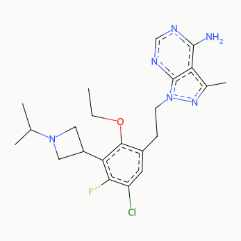 CCOc1c(CCn2nc(C)c3c(N)ncnc32)cc(Cl)c(F)c1C1CN(C(C)C)C1